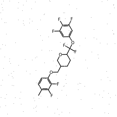 Cc1ccc(OCC2CCC(C(F)(F)Oc3cc(F)c(F)c(F)c3)OC2)c(F)c1F